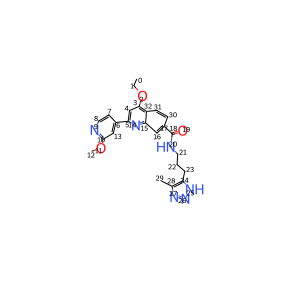 CCOc1cc(-c2ccnc(OC)c2)nc2cc(C(=O)NCCCc3[nH]nnc3C)ccc12